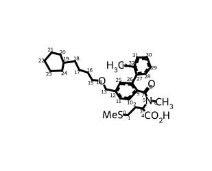 CSCCC(C(=O)O)N(C)C(=O)c1ccc(COCCCCC2CCCCC2)cc1-c1ccccc1C